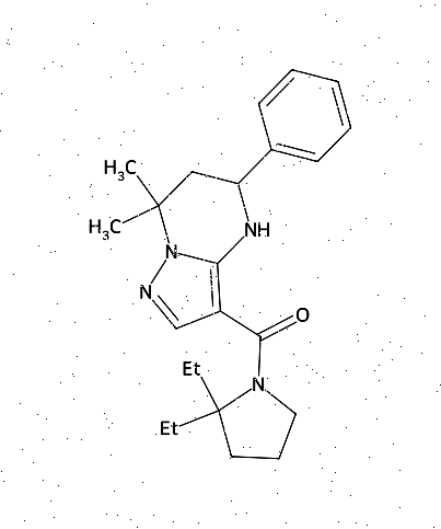 CCC1(CC)CCCN1C(=O)c1cnn2c1NC(c1ccccc1)CC2(C)C